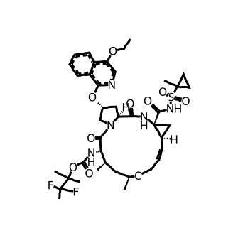 CCOc1cnc(O[C@@H]2C[C@H]3C(=O)N[C@]4(C(=O)NS(=O)(=O)C5(C)CC5)C[C@H]4C=CCC[C@@H](C)C[C@@H](C)[C@H](NC(=O)OC(C)(C)C(C)(F)F)C(=O)N3C2)c2ccccc12